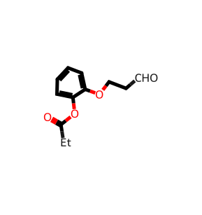 CCC(=O)Oc1ccccc1OCCC=O